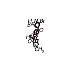 CN1CC2CN(C(=O)CCC(=O)c3cc(Br)c(N)c(Br)c3)CC(C1)C2N1Cc2ccccc2NC1=O